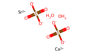 O.O.O=S(=O)([O-])[O-].O=S(=O)([O-])[O-].[Ca+2].[Sr+2]